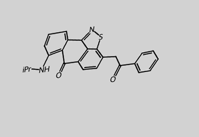 CC(C)Nc1cccc2c1C(=O)c1ccc(CC(=O)c3ccccc3)c3snc-2c13